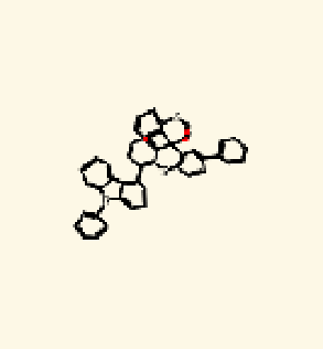 C1=CC(c2ccc3c(c2)C2(c4ccccc4Sc4ccccc42)c2cccc(-c4cccc5c4c4ccccc4n5-c4ccccc4)c2S3)=CCC1